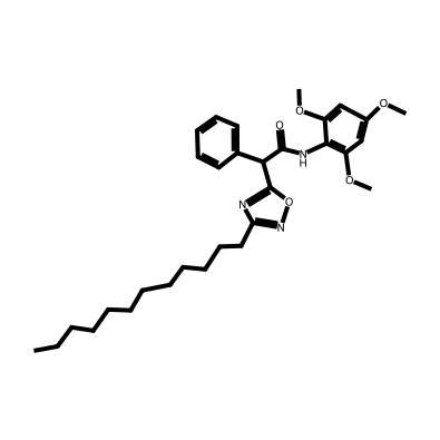 CCCCCCCCCCCCc1noc(C(C(=O)Nc2c(OC)cc(OC)cc2OC)c2ccccc2)n1